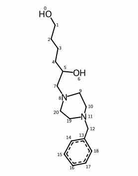 OCCCCC(O)CN1CCN(Cc2ccccc2)CC1